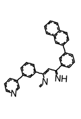 C=N/C(=C\C(=N)c1cccc(-c2ccc3ccccc3c2)c1)c1cccc(-c2cccnc2)c1